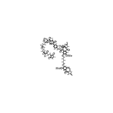 C=C1CC2C=Nc3cc(OCCCCCOc4cc5c(cc4OC)C(=O)N4CC(=C)C[C@@]4(N)[C@H](I)N5C(=O)OCc4ccc(NC(=O)[C@H](C)NC(=O)[C@@H](NC(=O)CCC(C)(C)OCCC(C)(C)NC(=O)CCN5C(=O)C=CC5=O)C(C)C)cc4)c(OC)cc3C(=O)N2C1